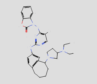 CCN(CC)C1CCN(C2CCCCc3ccc(Nc4ncc(C)c(Nn5c(=O)oc6ccccc65)n4)cc32)C1